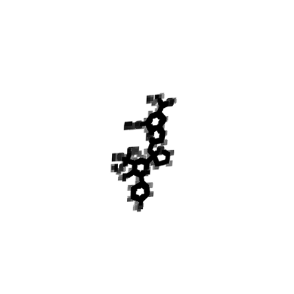 COc1cc(C(N)=O)cc2ccc(CC3(c4cc(C(C)(C)O)c(F)c(-c5ccc(F)cc5)n4)CCCO3)nc12